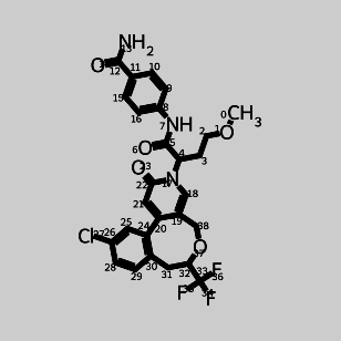 COCCC(C(=O)Nc1ccc(C(N)=O)cc1)n1cc2c(cc1=O)-c1cc(Cl)ccc1CC(C(F)(F)F)OC2